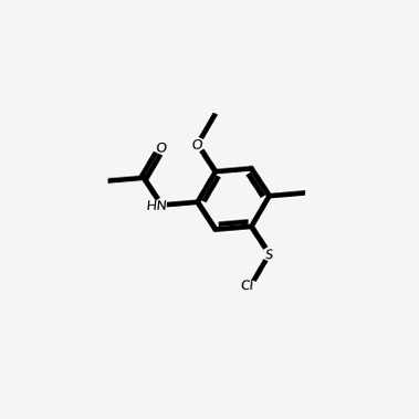 COc1cc(C)c(SCl)cc1NC(C)=O